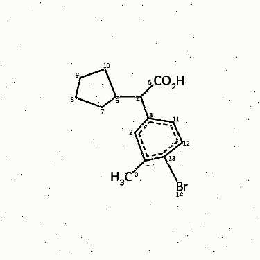 Cc1cc(C(C(=O)O)C2CCCC2)ccc1Br